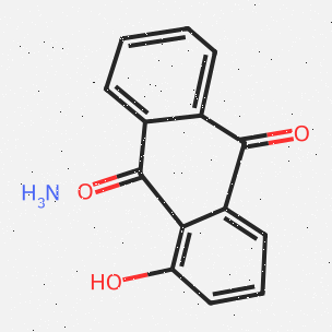 N.O=C1c2ccccc2C(=O)c2c(O)cccc21